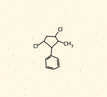 CC1C(Cl)CC(Cl)C1c1ccccc1